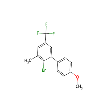 COc1ccc(-c2cc(C(F)(F)F)cc(C)c2Br)cc1